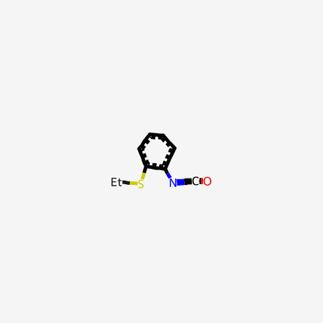 CCSc1ccccc1N=C=O